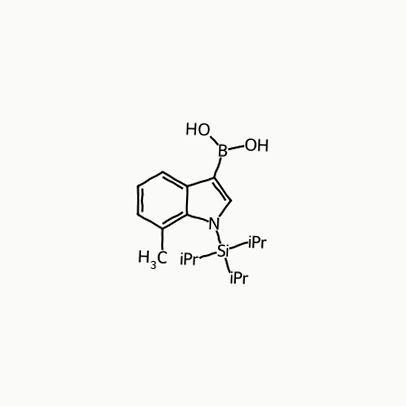 Cc1cccc2c(B(O)O)cn([Si](C(C)C)(C(C)C)C(C)C)c12